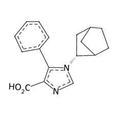 O=C(O)c1ncn([C@@H]2CC3CCC2C3)c1-c1ccccc1